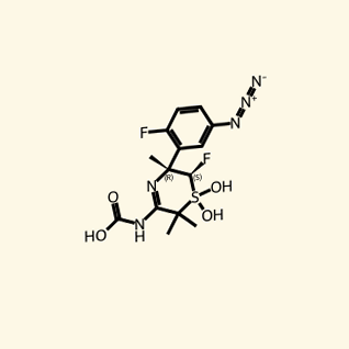 CC1(C)C(NC(=O)O)=N[C@](C)(c2cc(N=[N+]=[N-])ccc2F)[C@@H](F)S1(O)O